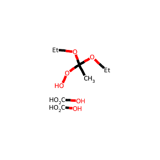 CCOC(C)(OO)OCC.O=C(O)O.O=C(O)O